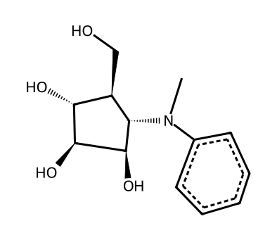 CN(c1ccccc1)[C@@H]1[C@@H](O)[C@@H](O)[C@H](O)[C@H]1CO